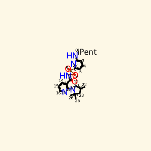 CCCC(C)Nc1cccc(S(=O)(=O)NC(=O)c2cccnc2N2CC(C)CC2(C)C)n1